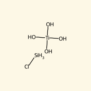 [OH][Ti]([OH])([OH])[OH].[SiH3]Cl